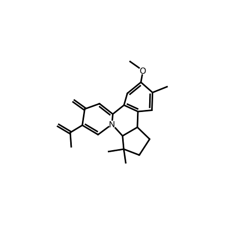 C=C(C)C1=CN2C(=CC1=C)c1cc(OC)c(C)cc1C1CCC(C)(C)C12